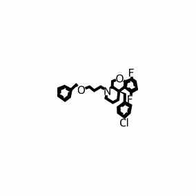 Fc1ccc(F)c2c1OCC1N(CCCOCc3ccccc3)CCC[C@@]21Cc1ccc(Cl)cc1